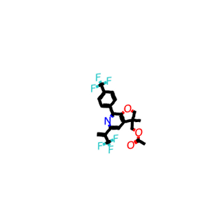 C=C(c1cc2c(c(-c3ccc(C(F)(F)F)cc3)n1)OCC2(C)COC(C)=O)C(F)(F)F